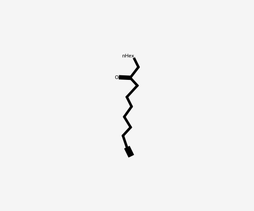 C#CCCCCCCC(=O)CCCCCCC